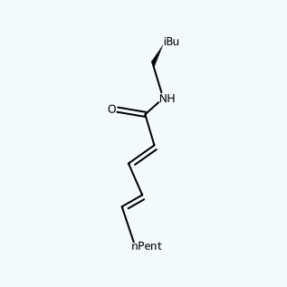 CCCCC/C=C/C=C/C(=O)NC[C@H](C)CC